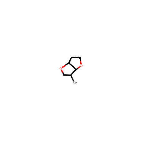 N#CC1COC2CCOC12